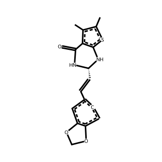 Cc1sc2c(c1C)C(=O)N[C@@H](C=Cc1ccc3c(c1)OCO3)N2